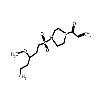 C=CC(=O)N1CCN(S(=O)(=O)CCC(CCC)OC)CC1